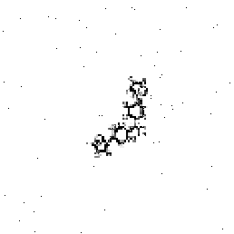 O=C(c1ccc(-c2ccco2)cc1)c1ccc(-c2ccco2)cc1